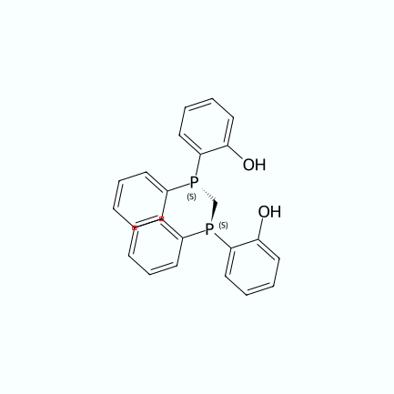 Oc1ccccc1[P@](C[P@](c1ccccc1)c1ccccc1O)c1ccccc1